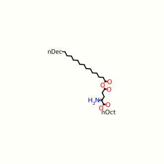 CCCCCCCCCCCCCCCCCCCCCCCC(=O)OC(=O)CC[C@H](N)C(=O)OCCCCCCCC